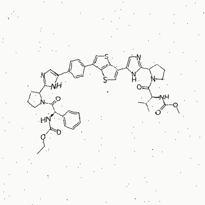 CCOC(=O)N[C@@H](C(=O)N1CCCC1c1ncc(-c2ccc(-c3csc4c(-c5cnc(C6CCCN6C(=O)[C@@H](NC(=O)OC)C(C)C)[nH]5)csc34)cc2)[nH]1)c1ccccc1